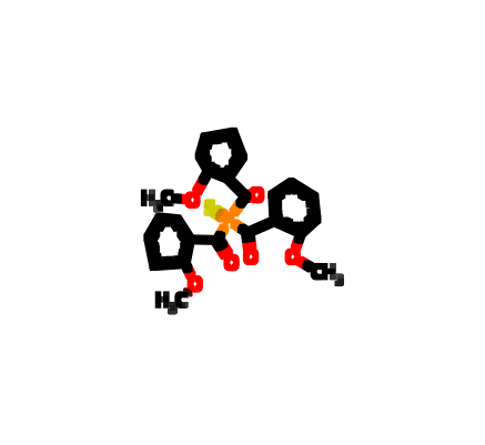 COc1ccccc1C(=O)P(=S)(C(=O)c1ccccc1OC)C(=O)c1ccccc1OC